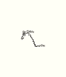 CCCCCCCCCCCC/C=C\CCCCCCCCCOC[C@H](COP(=O)([O-])OCC[N+](C)(C)C)OC